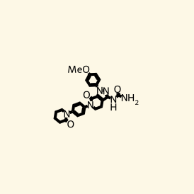 COc1ccc(-n2nc(NC(N)=O)c3c2C(=O)N(c2ccc(N4CCCCC4=O)cc2)CC3)cc1